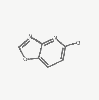 Clc1ccc2ocnc2n1